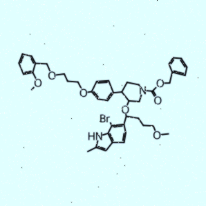 COCCCC(OC1CN(C(=O)OCc2ccccc2)CCC1c1ccc(OCCCOCc2ccccc2OC)cc1)c1ccc2cc(C)[nH]c2c1Br